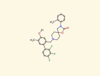 CCOc1cc(CN2CCC3(CC2)CN(c2ccccc2C)C(=O)O3)c(-c2ccc(F)c(F)c2F)cc1C